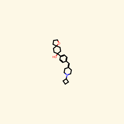 OC1(c2ccc(C=C3CCN(C4CCC4)CC3)cc2)CCC2(CCCO2)CC1